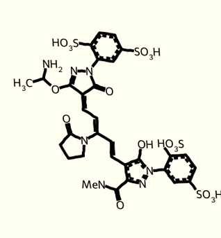 CNC(=O)c1nn(-c2cc(S(=O)(=O)O)ccc2S(=O)(=O)O)c(O)c1C=CC(=C/C=C1\C(=O)N(c2cc(S(=O)(=O)O)ccc2S(=O)(=O)O)N=C1OC(C)N)N1CCCC1=O